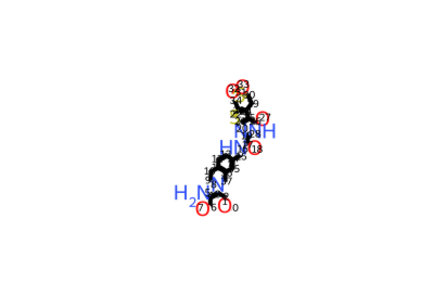 COC/C(=C(/N)C=O)N1CCc2ccc(CNC(=O)c3nc4sc5c(c4c(=O)[nH]3)CCS(=O)(=O)C5)cc2C1